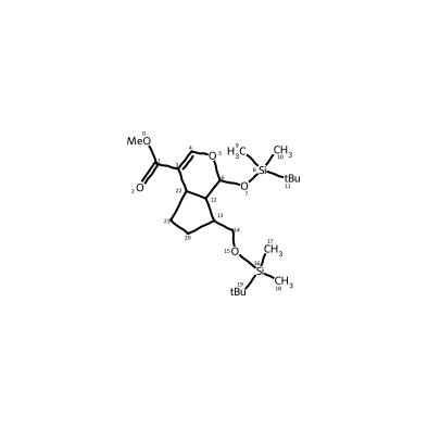 COC(=O)C1=COC(O[Si](C)(C)C(C)(C)C)C2C(CO[Si](C)(C)C(C)(C)C)CCC12